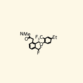 CCc1ccc(OCc2c(CC(=O)NC)cccc2C(F)F)c(C(F)(F)F)c1